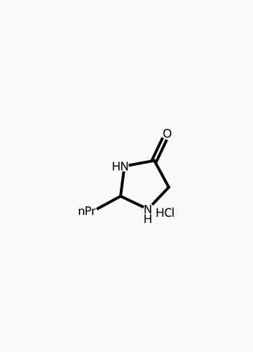 CCCC1NCC(=O)N1.Cl